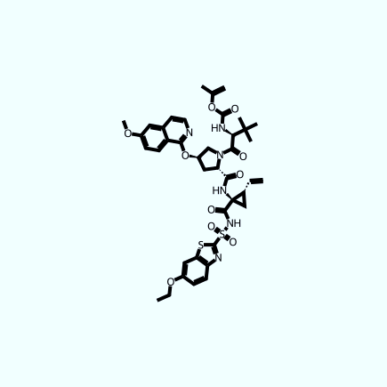 C=C[C@@H]1C[C@]1(NC(=O)[C@@H]1C[C@@H](Oc2nccc3cc(OC)ccc23)CN1C(=O)[C@@H](NC(=O)OC(=C)C)C(C)(C)C)C(=O)NS(=O)(=O)c1nc2ccc(OCC)cc2s1